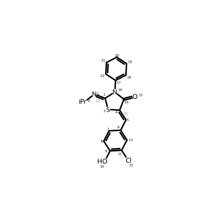 CC(C)/N=C1\S/C(=C\c2ccc(O)c(Cl)c2)C(=O)N1c1ccccc1